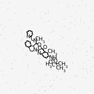 Cc1c(NC(=O)OC(C)(C)C)ccc2nc(N3CCc4ccccc4C3C(=O)N(C)Cc3ccccn3)oc(=O)c12